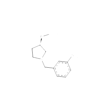 O=C(O)N[C@@H]1CCN(Cc2cccc([N+](=O)[O-])c2)C1